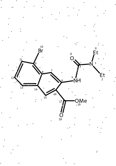 CCN(CC)C(=O)Nc1cc2c(Br)cccc2cc1C(=O)OC